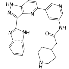 O=C(CC1CCNCC1)Nc1cncc(-c2ccc3[nH]nc(-c4nc5ccccc5[nH]4)c3n2)c1